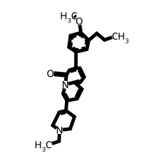 CCCc1cc(C2=C\C(=O)N3C=C(C4=CCN(CC)CC4)C=C\C3=C/C=C/2)ccc1OC